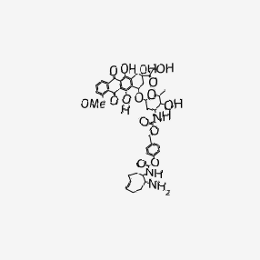 COc1cccc2c1C(=O)c1c(O)c3c(c(O)c1C2=O)C[C@@](O)(C(=O)CO)CC3OC1CC(NC(=O)OCc2ccc(OC(=O)NC3CC/C=C/CCC3N)cc2)C(O)C(C)O1